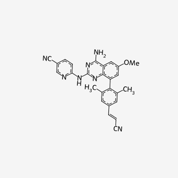 COc1cc(-c2c(C)cc(/C=C/C#N)cc2C)c2nc(Nc3ccc(C#N)cn3)nc(N)c2c1